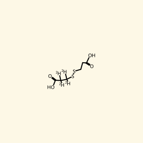 [2H]C([2H])(SSCCC(=O)O)C([2H])([2H])C(=O)O